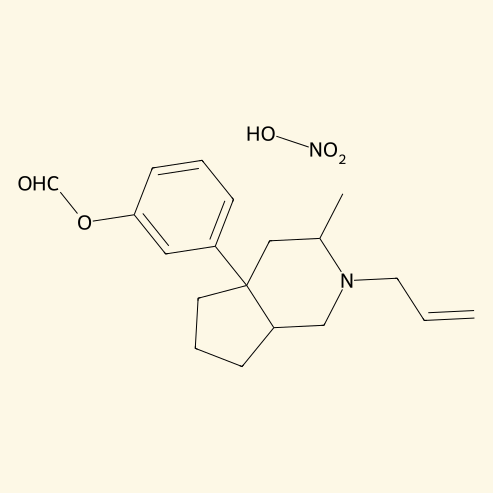 C=CCN1CC2CCCC2(c2cccc(OC=O)c2)CC1C.O=[N+]([O-])O